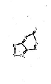 S=C1N=CC2=NN=NC2=N1